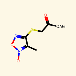 COC(=O)CSc1no[n+]([O-])c1C